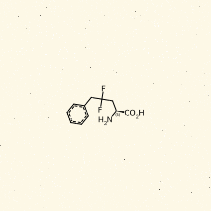 N[C@@H](CC(F)(F)Cc1ccccc1)C(=O)O